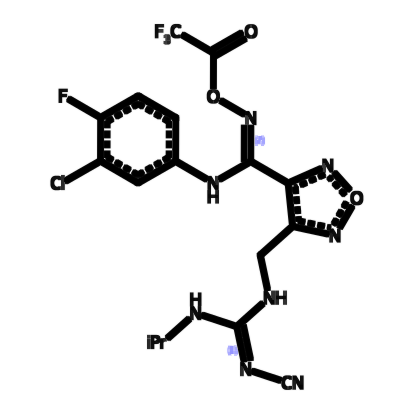 CC(C)N/C(=N/C#N)NCc1nonc1/C(=N/OC(=O)C(F)(F)F)Nc1ccc(F)c(Cl)c1